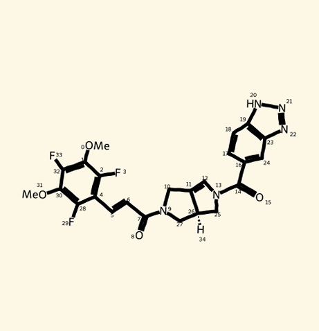 COc1c(F)c(C=CC(=O)N2CC3=CN(C(=O)c4ccc5[nH]nnc5c4)C[C@H]3C2)c(F)c(OC)c1F